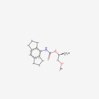 CC(C)OC[C@@H](OC(=O)Nc1c2c(cc3c1CCC3)CCC2)C(=O)O